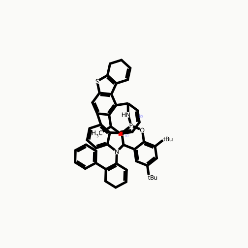 CC1/C=C\C=C/C2NP3Oc4c(cc(C(C)(C)C)cc4C(C)(C)C)C4N(C5=C(c6ccccc6)CCC=C5)c5cccc(c5N43)-c3cc4sc5c(c4c2c31)C=CCC5